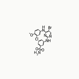 COc1ccc(Nc2nc(Nc3cccc(S(N)(=O)=O)c3)ncc2Br)cc1Cl